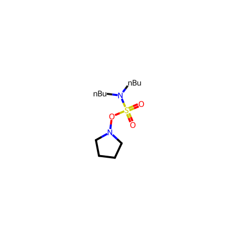 CCCCN(CCCC)S(=O)(=O)ON1CCCC1